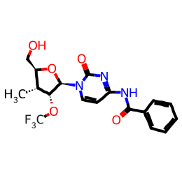 C[C@H]1[C@@H](OC(F)(F)F)[C@H](n2ccc(NC(=O)c3ccccc3)nc2=O)O[C@@H]1CO